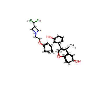 CC1=C(c2cccc(O)c2)[C@@H](c2ccc(OCCN3CC(C(F)F)C3)cc2)Oc2ccc(O)cc21